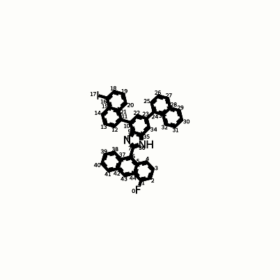 Fc1cccc2c(-c3nc4c(-c5cccc6c(I)cccc56)cc(-c5cccc6ccccc56)cc4[nH]3)c3ccccc3cc12